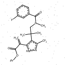 C=C(C(=O)OC(C)C)c1[nH]nc(C(F)(F)F)c1C(C)(C)CN(C)C(=O)c1cccc(F)c1